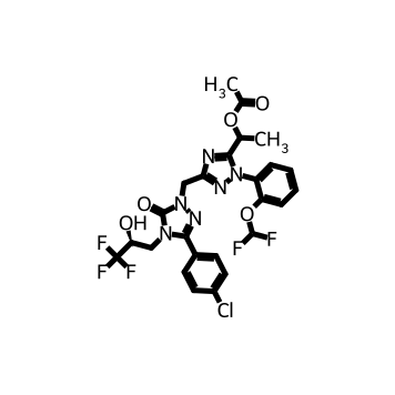 CC(=O)OC(C)c1nc(Cn2nc(-c3ccc(Cl)cc3)n(C[C@H](O)C(F)(F)F)c2=O)nn1-c1ccccc1OC(F)F